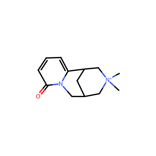 C[N+]1(C)CC2CC(C1)c1cccc(=O)n1C2